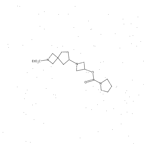 CCOC(=O)N1CC2(CCC(N3CC(OC(=O)N4CCCC4)C3)C2)C1